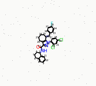 O=C(NC1CCCc2ccccc21)c1nn(-c2ccc(Cl)cc2Cl)c2c1CCCC/C2=C\c1ccc(F)cc1